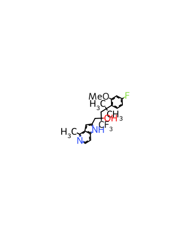 COc1cc(F)ccc1C(C)(C)CC(O)(Cc1cc2c(C)nccc2[nH]1)C(F)(F)F